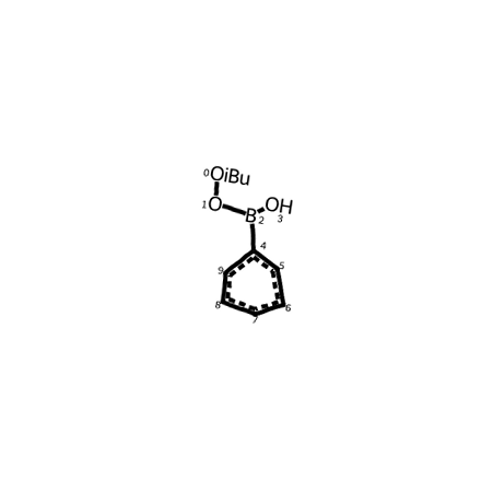 CC(C)COOB(O)c1ccccc1